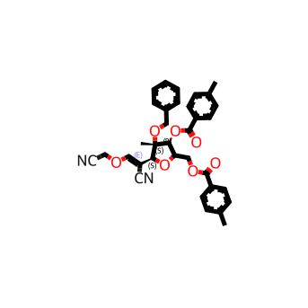 Cc1ccc(C(=O)OCC2O[C@@H](/C(C#N)=C/OCC#N)[C@](C)(OCc3ccccc3)[C@@H]2OC(=O)c2ccc(C)cc2)cc1